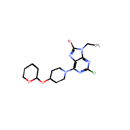 CCn1c(Br)nc2c(N3CCC(OC4CCCCO4)CC3)nc(Cl)nc21